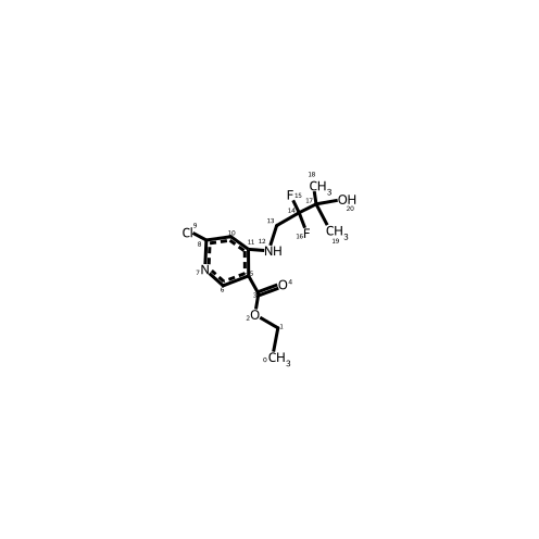 CCOC(=O)c1cnc(Cl)cc1NCC(F)(F)C(C)(C)O